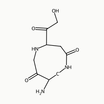 NC1CNC(=O)CC(C(=O)CO)NCC1=O